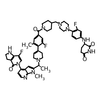 Cc1cc(C(=O)N2CCC(CN3CCN(c4ccc(NC5CCC(=O)NC5=O)cc4F)CC3)CC2)cc(F)c1C1=CCN([C@@H](C)c2cc3c(-n4cc(F)c5c(c4=O)CCN5)ccnc3n2C)CC1